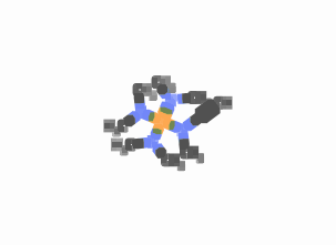 C#CN(C)P(N(C)C)(N(C)C)=[N+](C)C